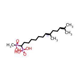 CC(C)=CCC/C(C)=C/CCCCCCC(P(C)(=O)O)P(=O)(O)O